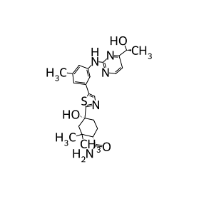 Cc1cc(Nc2nccc([C@H](C)O)n2)cc(-c2cnc([C@@]3(O)CC[C@H](C(N)=O)C(C)(C)C3)s2)c1